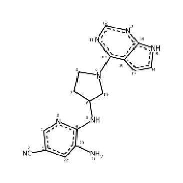 N#Cc1cnc(NC2CCN(c3ncnc4[nH]ccc34)C2)c(N)c1